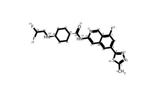 Cc1nnc(-c2cc(F)c3cnc(NC(=O)[C@H]4CC[C@H](NCC(F)F)CC4)cc3c2)s1